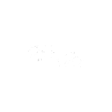 CC(C)c1cccnc1N1CCN(Cc2cccc(-c3ccccc3C(F)(F)F)c2)CC1